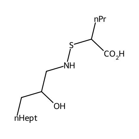 CCCCCCCCC(O)CNSC(CCC)C(=O)O